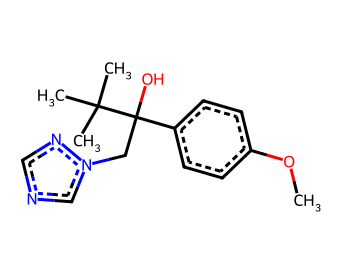 COc1ccc(C(O)(Cn2cncn2)C(C)(C)C)cc1